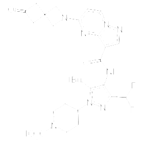 CC(C)(C)c1c(NC(=O)c2cnn3ccc(N4CC5(CC(=O)C5)C4)nc23)c(C(F)F)nn1C1CCN(C(=O)O)CC1